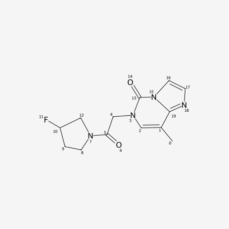 Cc1cn(CC(=O)N2CCC(F)C2)c(=O)n2ccnc12